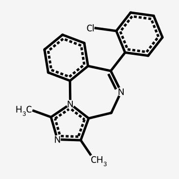 Cc1nc(C)n2c1CN=C(c1ccccc1Cl)c1ccccc1-2